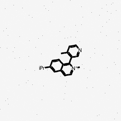 Cc1ccncc1-c1c2ccc(C(C)C)cc2cc[n+]1C